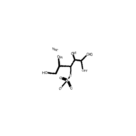 O=CC(O)C(O)C(OS(=O)(=O)[O-])C(O)CO.[Na+]